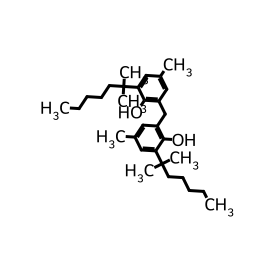 CCCCCC(C)(C)c1cc(C)cc(Cc2cc(C)cc(C(C)(C)CCCCC)c2O)c1O